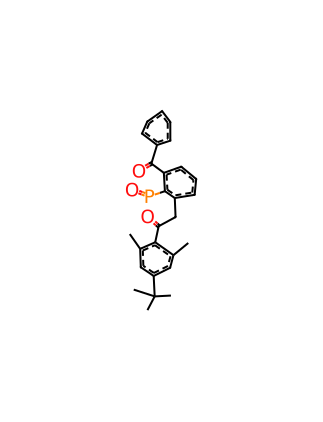 Cc1cc(C(C)(C)C)cc(C)c1C(=O)Cc1cccc(C(=O)c2ccccc2)c1P=O